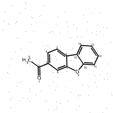 CC(=O)c1ccc2c(c1)oc1ccccc12